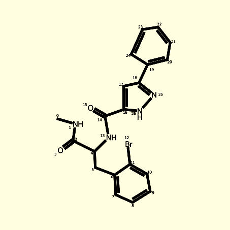 CNC(=O)C(Cc1ccccc1Br)NC(=O)c1cc(-c2ccccc2)n[nH]1